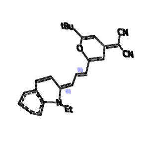 CCN1/C(=C/C=C/C2=CC(=C(C#N)C#N)C=C(C(C)(C)C)O2)C=Cc2ccccc21